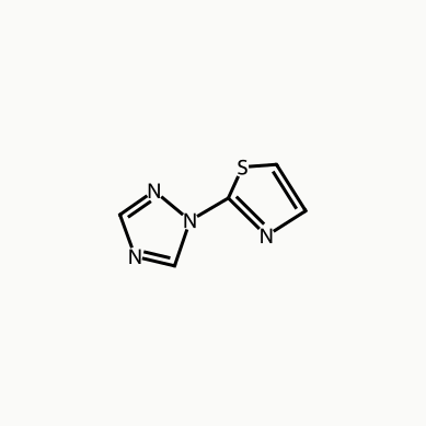 c1csc(-n2cncn2)n1